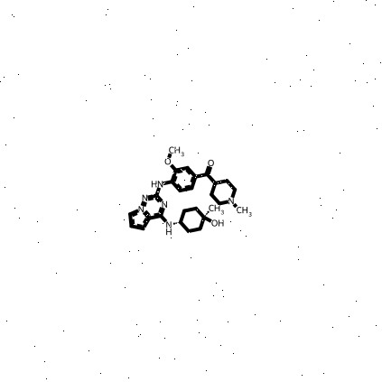 COc1cc(C(=O)C2CCN(C)CC2)ccc1Nc1nc(N[C@H]2CC[C@](C)(O)CC2)c2cccn2n1